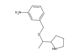 CC(OCc1cccc(N)c1)C1CCCN1